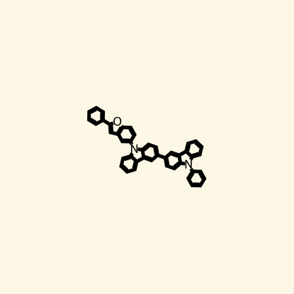 c1ccc(-c2cc3cc(-n4c5ccccc5c5cc(-c6ccc7c(c6)c6ccccc6n7-c6ccccc6)ccc54)ccc3o2)cc1